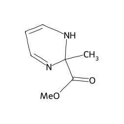 COC(=O)C1(C)N=CC=CN1